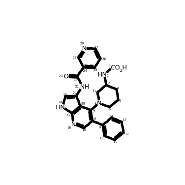 O=C(O)NC1CCCN(c2c(-c3ccccc3)cnc3[nH]cc(NC(=O)c4cccnc4)c23)C1